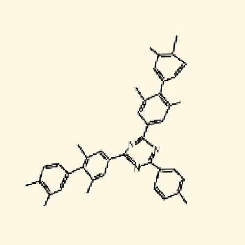 Cc1ccc(-c2nc(-c3cc(C)c(-c4ccc(C)c(C)c4)c(C)c3)nc(-c3cc(C)c(-c4ccc(C)c(C)c4)c(C)c3)n2)cc1